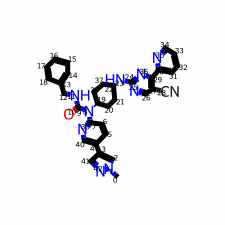 Cn1cc(-c2ccc(N(C(=O)NCc3ccccc3)[C@H]3CC[C@H](Nc4ncc(C#N)c(-c5ccccn5)n4)CC3)nc2)cn1